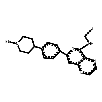 CCN1CCC(c2ccc(-c3cc4nccnc4c(NCI)n3)cc2)CC1